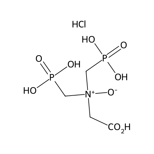 Cl.O=C(O)C[N+]([O-])(CP(=O)(O)O)CP(=O)(O)O